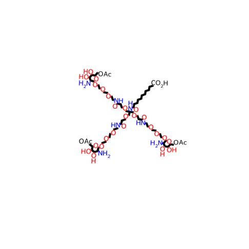 CC(=O)OCC1OC(OCCOCCOCCNC(=O)CCOCC(COCCC(=O)NCCOCCOCCOC2OC(COC(C)=O)C(O)C(O)C2N)(COCCC(=O)NCCOCCOCCOC2OC(COC(C)=O)C(O)C(O)C2N)NC(=O)CCCCCCCCCCC(=O)O)C(N)C(O)C1O